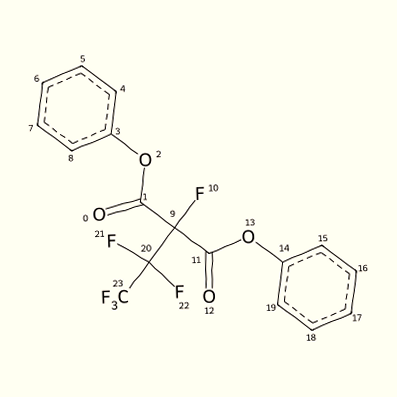 O=C(Oc1ccccc1)C(F)(C(=O)Oc1ccccc1)C(F)(F)C(F)(F)F